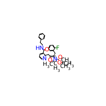 CC(C)(C)OC(=O)N1[C@H](Cc2ccccc2F)[C@H](Cc2ncccc2C(=O)NCCc2ccccc2)OC1(C)C